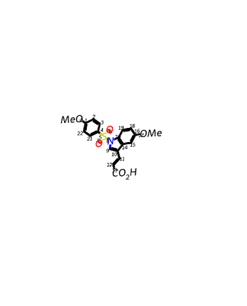 COc1ccc(S(=O)(=O)n2cc(/C=C/C(=O)O)c3cc(OC)ccc32)cc1